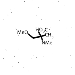 CNC(C)(COC)C(=O)O